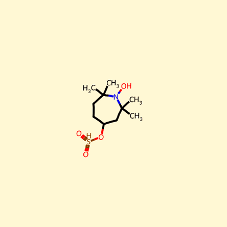 CC1(C)CCC(O[SH](=O)=O)CC(C)(C)N1O